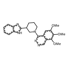 COc1cc2c(N3CCCC(c4nc5ccccc5[nH]4)C3)nncc2c(OC)c1OC